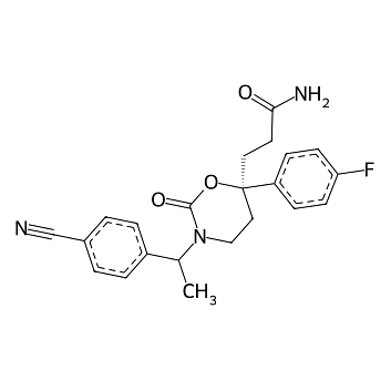 CC(c1ccc(C#N)cc1)N1CC[C@](CCC(N)=O)(c2ccc(F)cc2)OC1=O